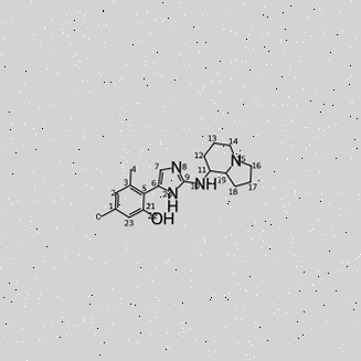 Cc1cc(C)c(-c2cnc(NC3CCCN4CCCC34)[nH]2)c(O)c1